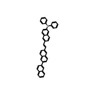 C(=C\c1ccc2cc(N(c3ccccc3)c3ccccc3)ccc2c1)/c1ccc2cc(-c3ccc4ccccc4c3)ccc2c1